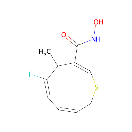 CC1/C(F)=C\C=C/CS/C=C\1C(=O)NO